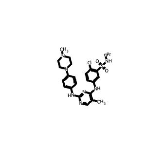 CCCNS(=O)(=O)c1cc(Nc2nc(Nc3ccc(N4CCN(C)CC4)cc3)ncc2C)ccc1Cl